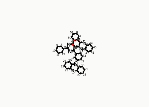 c1ccc(-c2nc(-c3ccccc3)nc(-c3cc(N4c5ccccc5Sc5ccccc54)ccc3N3c4ccccc4Sc4ccccc43)n2)cc1